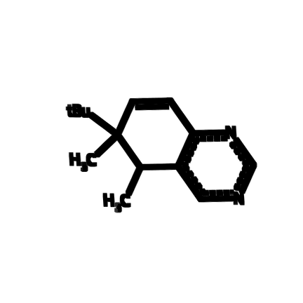 CC1c2cncnc2C=CC1(C)C(C)(C)C